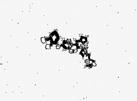 CC1(C)OCC(Cn2ccc(NC(=O)C(CC3CCCC3)n3ncc(Oc4cccc(Cl)c4Cl)cc3=O)n2)O1